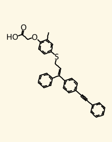 Cc1cc(SC/C=C(\c2ccccc2)c2ccc(C#Cc3ccccc3)cc2)ccc1OCC(=O)O